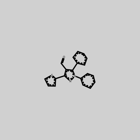 O=Cc1c(-c2cccs2)nn(-c2ccccc2)c1-c1ccccc1